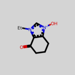 CCn1c[n+](O)c2c1C(=O)CCC2